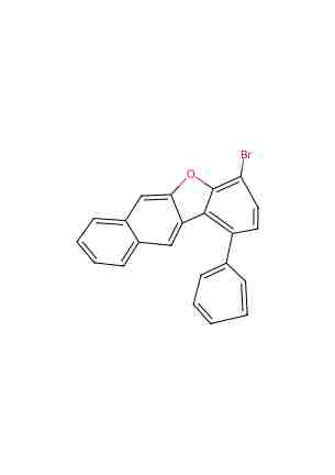 Brc1ccc(-c2ccccc2)c2c1oc1cc3ccccc3cc12